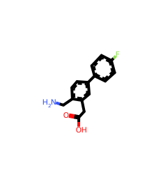 NCc1ccc(-c2ccc(F)cc2)cc1CC(=O)O